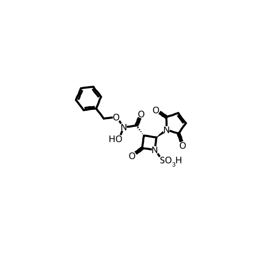 O=C([C@H]1C(=O)N(S(=O)(=O)O)[C@@H]1N1C(=O)C=CC1=O)N(O)OCc1ccccc1